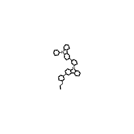 C=CCc1cccc(-c2ccc3c(c2)c2ccccc2n3-c2cccc(-c3ccc4c(c3)c3ccccc3n4-c3ccccc3)c2)c1